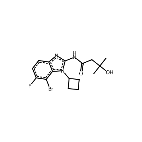 CC(C)(O)CC(=O)Nc1nc2ccc(F)c(Br)c2n1C1CCC1